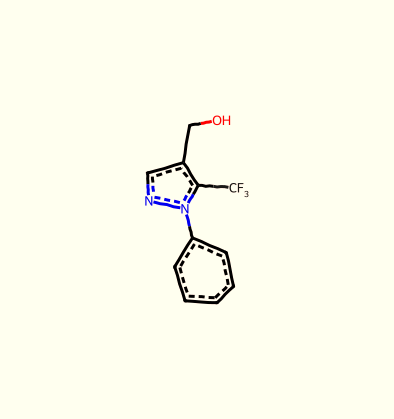 OCc1cnn(-c2ccccc2)c1C(F)(F)F